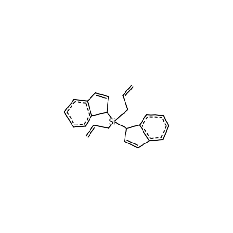 C=CC[Si](CC=C)(C1C=Cc2ccccc21)C1C=Cc2ccccc21